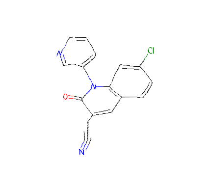 N#Cc1cc2ccc(Cl)cc2n(-c2cccnc2)c1=O